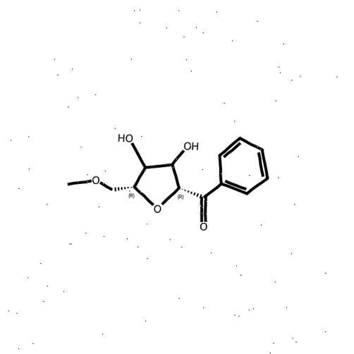 COC[C@H]1O[C@@H](C(=O)c2ccccc2)C(O)C1O